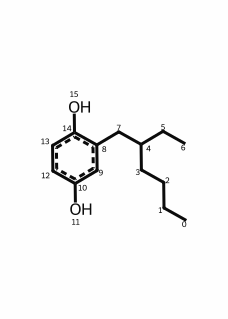 CCCCC(CC)Cc1cc(O)ccc1O